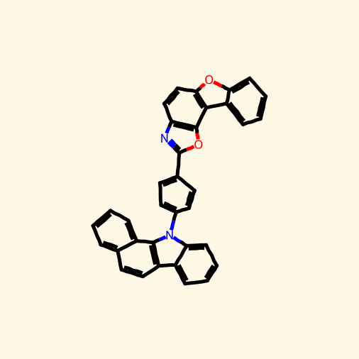 c1ccc2c(c1)ccc1c3ccccc3n(-c3ccc(-c4nc5ccc6oc7ccccc7c6c5o4)cc3)c21